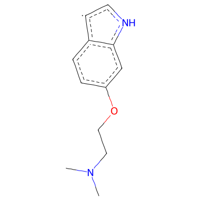 CN(C)CCOc1ccc2[c]c[nH]c2c1